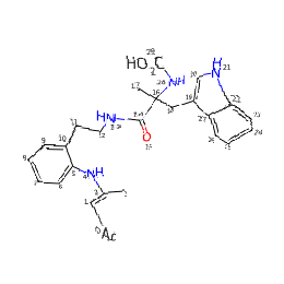 CC(=O)/C=C(\C)Nc1ccccc1CCNC(=O)C(C)(Cc1c[nH]c2ccccc12)NC(=O)O